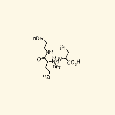 CC(C)CC(N)C(=O)O.CCCCCCCCCCCCNC(=O)C(CCO)NCCC